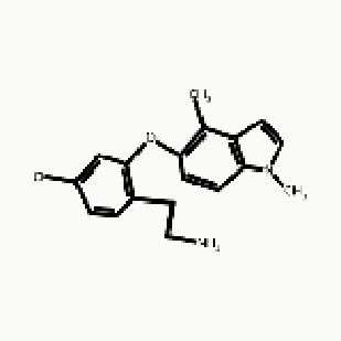 Cc1c(Oc2cc(Cl)ccc2CCN)ccc2c1ccn2C